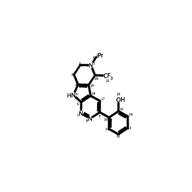 CC(C)N1CCc2[nH]c3nnc(-c4ccccc4O)cc3c2C1C(F)(F)F